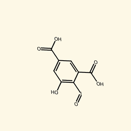 O=Ic1c(O)cc(C(=O)O)cc1C(=O)O